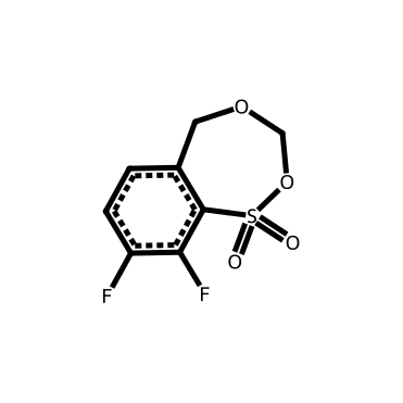 O=S1(=O)OCOCc2ccc(F)c(F)c21